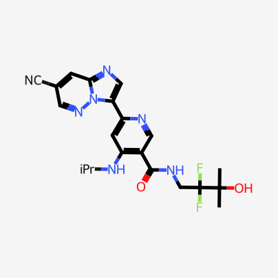 CC(C)Nc1cc(-c2cnc3cc(C#N)cnn23)ncc1C(=O)NCC(F)(F)C(C)(C)O